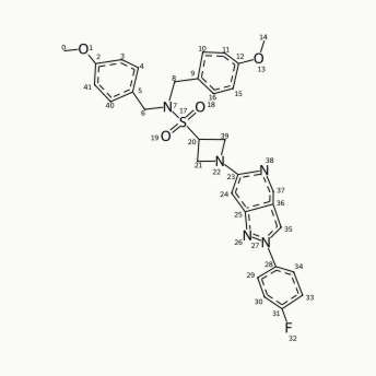 COc1ccc(CN(Cc2ccc(OC)cc2)S(=O)(=O)C2CN(c3cc4nn(-c5ccc(F)cc5)cc4cn3)C2)cc1